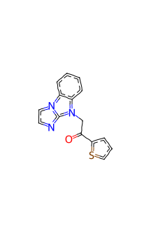 O=C(Cn1c2ccccc2n2ccnc12)c1cccs1